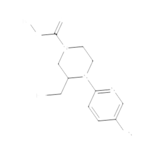 CC(C)(C)OC(=O)N1CCN(c2ccc(C#N)cn2)C(CO)C1